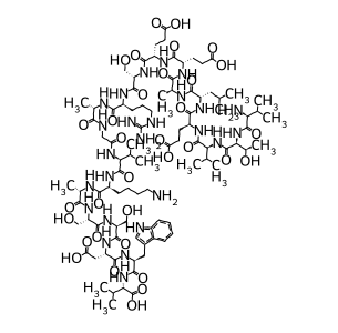 CC(C)C[C@H](NC(=O)[C@H](CCC(=O)O)NC(=O)[C@@H](NC(=O)[C@@H](NC(=O)[C@@H](N)C(C)C)[C@@H](C)O)C(C)C)C(=O)N[C@@H](C)C(=O)N[C@@H](CCC(=O)O)C(=O)N[C@@H](CCC(=O)O)C(=O)N[C@@H](CO)C(=O)N[C@@H](CCCNC(=N)N)C(=O)N[C@@H](C)C(=O)NCC(=O)N[C@H](C(=O)N[C@@H](CCCCN)C(=O)N[C@@H](C)C(=O)N[C@@H](CO)C(=O)N[C@@H](CO)C(=O)N[C@@H](CC(=O)O)C(=O)N[C@@H](Cc1c[nH]c2ccccc12)C(=O)N[C@H](C(=O)O)C(C)C)C(C)C